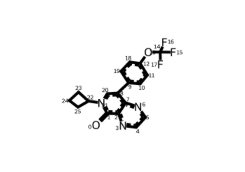 O=c1c2nccnc2c(-c2ccc(OC(F)(F)F)cc2)cn1C1CCC1